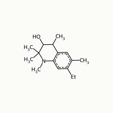 CCc1cc2c(cc1C)C(C)C(O)C(C)(C)N2C